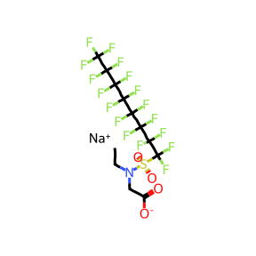 CCN(CC(=O)[O-])S(=O)(=O)C(F)(F)C(F)(F)C(F)(F)C(F)(F)C(F)(F)C(F)(F)C(F)(F)C(F)(F)F.[Na+]